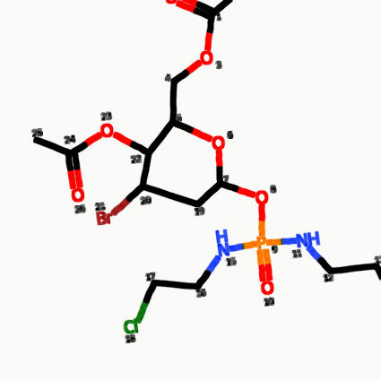 CC(=O)OCC1OC(OP(=O)(NCCCl)NCCCl)CC(Br)C1OC(C)=O